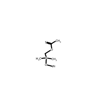 CC(=S)OC[Si](C)(C)OC(C)C